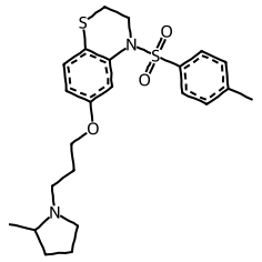 Cc1ccc(S(=O)(=O)N2CCSc3ccc(OCCCN4CCCC4C)cc32)cc1